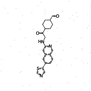 O=CC1CCC(C(=O)CNc2cc3cc(-c4cncs4)ccc3cn2)CC1